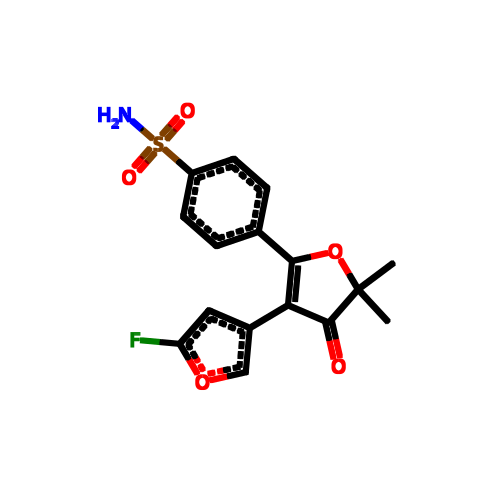 CC1(C)OC(c2ccc(S(N)(=O)=O)cc2)=C(c2coc(F)c2)C1=O